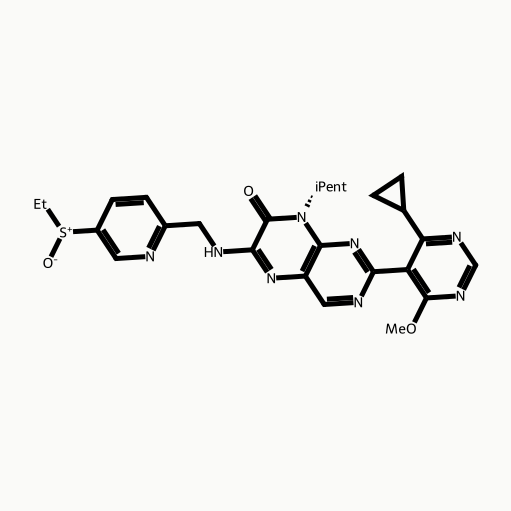 CCC[C@@H](C)n1c(=O)c(NCc2ccc([S+]([O-])CC)cn2)nc2cnc(-c3c(OC)ncnc3C3CC3)nc21